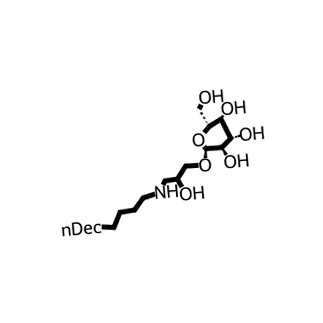 CCCCCCCCCCCCCCNCC(O)CO[C@H]1O[C@H](CO)[C@H](O)[C@H](O)[C@H]1O